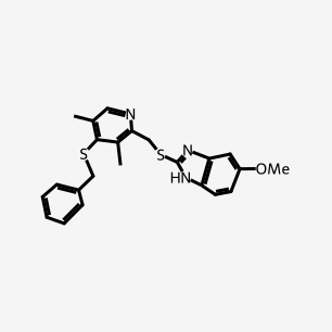 COc1ccc2[nH]c(SCc3ncc(C)c(SCc4ccccc4)c3C)nc2c1